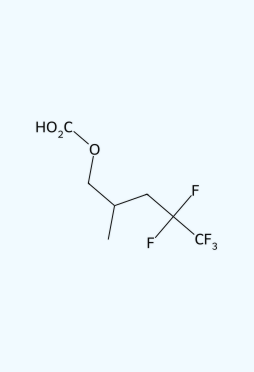 CC(COC(=O)O)CC(F)(F)C(F)(F)F